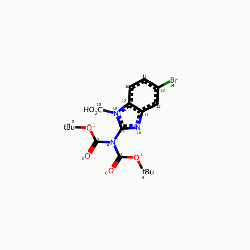 CC(C)(C)OC(=O)N(C(=O)OC(C)(C)C)c1nc2cc(Br)ccc2n1C(=O)O